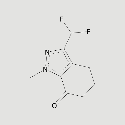 Cn1nc(C(F)F)c2c1C(=O)CCC2